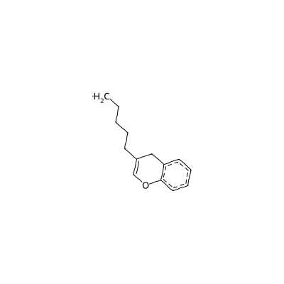 [CH2]CCCCC1=COc2ccccc2C1